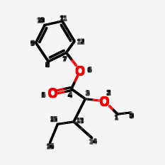 CCOC(C(=O)Oc1ccccc1)C(C)CC